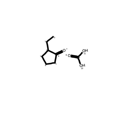 CCC1CCCC1=O.O=C(O)O